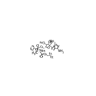 CCC(CC)COC(=O)[C@H](C)N[P@](=O)(OC[C@H]1O[C@@](CN)(c2ccc3c(N)ncnn23)[C@H](O)[C@@H]1O)Oc1ccccc1